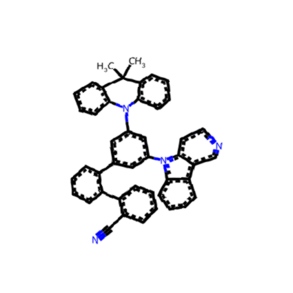 CC1(C)c2ccccc2N(c2cc(-c3ccccc3-c3ccccc3C#N)cc(-n3c4ccccc4c4cnccc43)c2)c2ccccc21